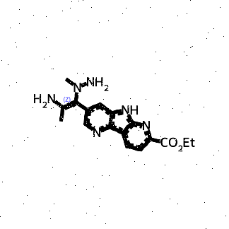 CCOC(=O)c1ccc2c(n1)[nH]c1cc(/C(=C(\C)N)N(C)N)cnc12